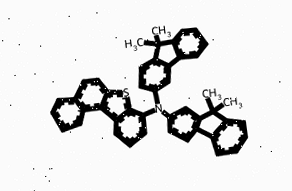 CC1(C)c2ccccc2-c2cc(N(c3ccc4c(c3)C(C)(C)c3ccccc3-4)c3cccc4c3sc3ccc5ccccc5c34)ccc21